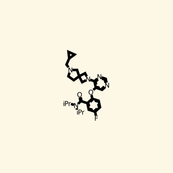 CC(C)N(C(=O)c1cc(F)ccc1Oc1cncnc1N1CC2(CCN(CC3CC3)C2)C1)C(C)C